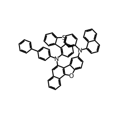 c1ccc(-c2ccc(N(c3cccc4sc5ccccc5c34)c3cc4ccccc4c4oc5ccc(N(c6ccccc6)c6cccc7ccccc67)cc5c34)cc2)cc1